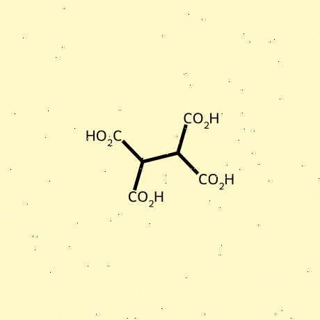 O=C(O)[C](C(=O)O)C(C(=O)O)C(=O)O